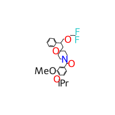 COc1cc(C(=O)N2CCC3(CC2)CC(COCC(F)F)c2ccccc2O3)ccc1OC(C)C